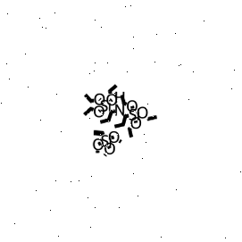 C=C[Si](OC)(OC)OC.CCO[Si](OCC)(OCC)C(CC)NC(CC)[Si](OCC)(OCC)OCC